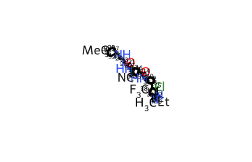 CCc1nc2c(Cl)c(-c3cccc(NC(=O)c4ccc(NC(=O)/C=C/CN[C@H]5CC[C@H](OC)CC5)c(C#N)c4)c3)c(C(F)(F)F)cc2n1C